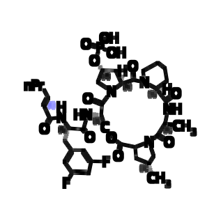 CCC/C=C/C(=O)N[C@@H](Cc1cc(F)cc(F)c1)C(=O)N[C@H]1COC(=O)C2C[C@@H](C)CN2C(=O)[C@H](C)NC(=O)[C@@H]2CCCCN2C(=O)[C@@H]2C[C@@H](OP(=O)(O)O)CN2C1=O